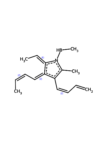 C=C/C=C\c1c(C)n(BC)c(=C/C)/c1=C\C=C/C